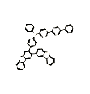 c1ccc(-c2ccc(-c3ccc(N(c4ccccc4)c4ccc(-c5cc6sc7ccccc7c6cc5-c5ccc6oc7ccccc7c6c5)cc4)cc3)cc2)cc1